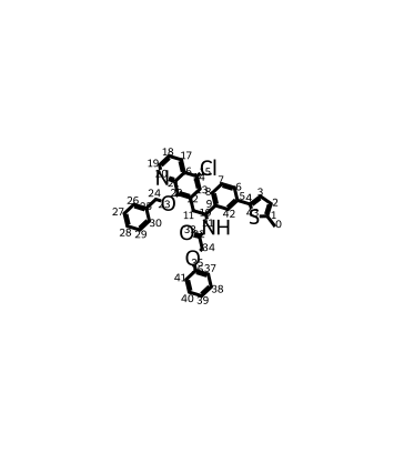 Cc1ccc(-c2cccc(C(Cc3cc(Cl)c4cccnc4c3OCc3ccccc3)NC(=O)COc3ccccc3)c2)s1